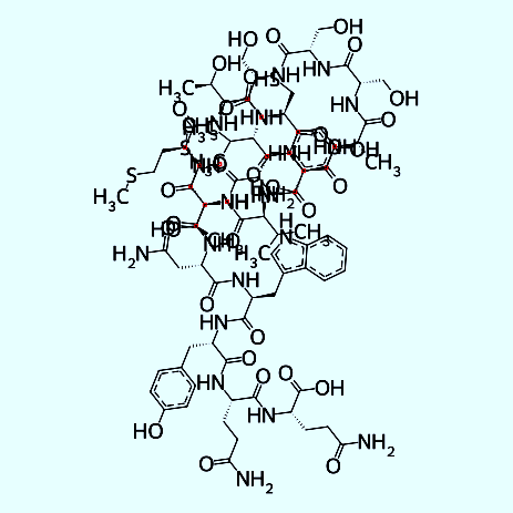 CSCC[C@H](NC(=O)[C@H](Cc1ccc(O)cc1)NC(=O)[C@H](CO)NC(=O)[C@@H](NC(=O)[C@H](CO)NC(=O)[C@H](CO)NC(=O)[C@H](CO)NC(=O)[C@H](C)NC(=O)[C@H](CO)NC(=O)[C@H](CS)NC(=O)[C@@H](NC(=O)[C@H](CCSC)NC(=O)[C@@H](NC(=O)[C@@H](N)C(C)C)[C@@H](C)O)[C@@H](C)O)C(C)C)C(=O)N[C@@H](CC(N)=O)C(=O)N[C@@H](Cc1c[nH]c2ccccc12)C(=O)N[C@@H](Cc1ccc(O)cc1)C(=O)N[C@@H](CCC(N)=O)C(=O)N[C@@H](CCC(N)=O)C(=O)O